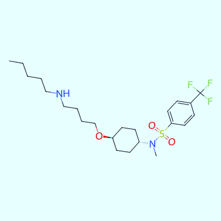 CCCCCNCCCCO[C@H]1CC[C@H](N(C)S(=O)(=O)c2ccc(C(F)(F)F)cc2)CC1